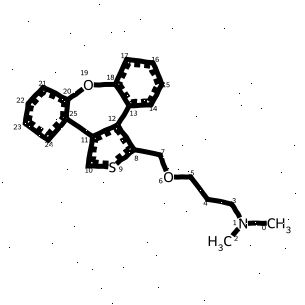 CN(C)CCCOCc1scc2c1-c1ccccc1Oc1ccccc1-2